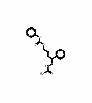 NC(=S)N/N=C(\CCCOC(=O)Nc1ccccc1)c1ccccc1